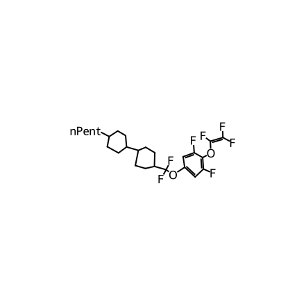 CCCCCC1CCC(C2CCC(C(F)(F)Oc3cc(F)c(OC(F)=C(F)F)c(F)c3)CC2)CC1